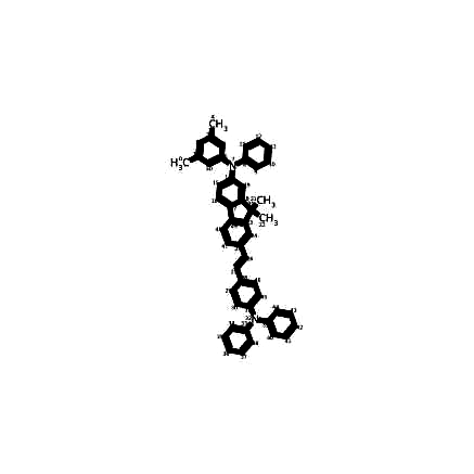 Cc1cc(C)cc(N(c2ccccc2)c2ccc3c(c2)C(C)(C)c2cc(/C=C/c4ccc(N(c5ccccc5)c5ccccc5)cc4)ccc2-3)c1